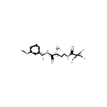 COc1cccc([C@@H](C)NC(=O)[C@H](N)CCOC(=O)C(F)(F)F)c1